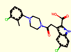 Cc1c(Cl)cccc1N1CCN(C(=O)Cc2c(C(=O)O)[nH]c3ccc(Cl)cc23)CC1